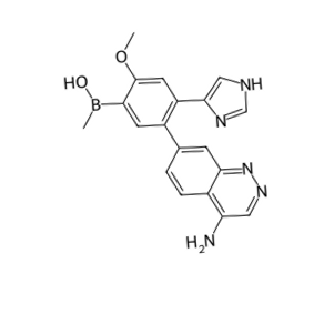 COc1cc(-c2c[nH]cn2)c(-c2ccc3c(N)cnnc3c2)cc1B(C)O